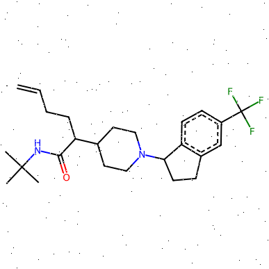 C=CCCC(C(=O)NC(C)(C)C)C1CCN(C2CCc3cc(C(F)(F)F)ccc32)CC1